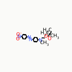 CCC(C)(C)C(=O)OCCN(C)c1ccc(/N=N/c2ccc([N+](=O)[O-])cc2)cc1